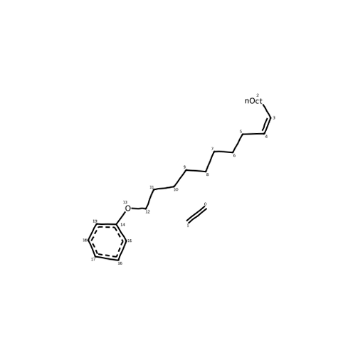 C=C.CCCCCCCC/C=C\CCCCCCCCOc1ccccc1